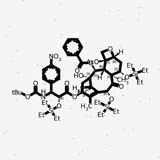 CC[Si](CC)(CC)O[C@H]1C(=O)[C@]2(C)[C@@H](O[Si](CC)(CC)CC)C[C@H]3OC[C@@]3(OC(C)=O)[C@H]2[C@H](OC(=O)c2ccccc2)[C@]2(O)C[C@H](OC(=O)[C@H](O[Si](CC)(CC)CC)C(NC(=O)OC(C)(C)C)c3ccc([N+](=O)[O-])cc3)C(C)=C1C2(C)C